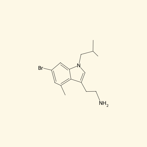 Cc1cc(Br)cc2c1c(CCN)cn2CC(C)C